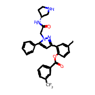 Cc1ccc(OC(=O)c2cccc(C(F)(F)F)c2)c(-c2cc(-c3ccccc3)n(CC(=O)N[C@@H]3CCNC3)n2)c1